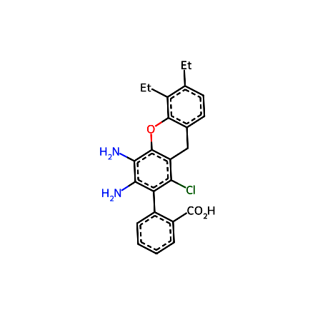 CCc1ccc2c(c1CC)Oc1c(N)c(N)c(-c3ccccc3C(=O)O)c(Cl)c1C2